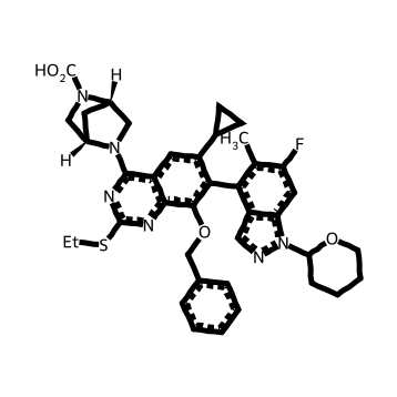 CCSc1nc(N2C[C@@H]3C[C@H]2CN3C(=O)O)c2cc(C3CC3)c(-c3c(C)c(F)cc4c3cnn4C3CCCCO3)c(OCc3ccccc3)c2n1